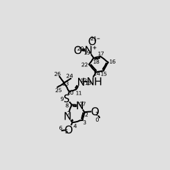 COc1cc(OC)nc(SC(C=NNc2cccc([N+](=O)[O-])c2)C(C)(C)C)n1